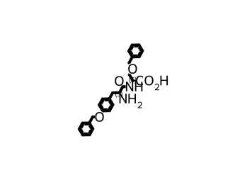 N[C@@H](Cc1ccc(OCc2ccccc2)cc1)C(=O)N[C@@H](COCc1ccccc1)C(=O)O